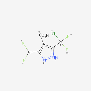 O=C(O)c1c(C(F)F)n[nH]c1C(F)(F)Cl